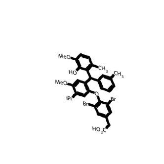 COc1cc(C(c2cccc(C)c2)c2c(C)ccc(OC)c2O)c(Oc2c(Br)cc(CC(=O)O)cc2Br)cc1C(C)C